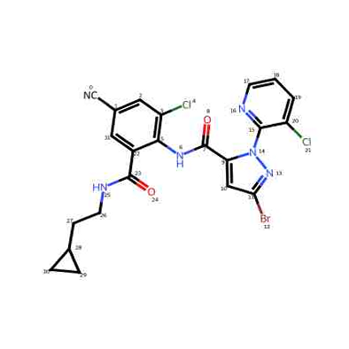 N#Cc1cc(Cl)c(NC(=O)c2cc(Br)nn2-c2ncccc2Cl)c(C(=O)NCCC2CC2)c1